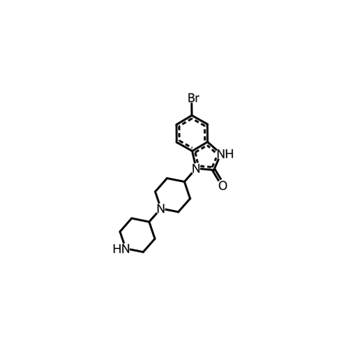 O=c1[nH]c2cc(Br)ccc2n1C1CCN(C2CCNCC2)CC1